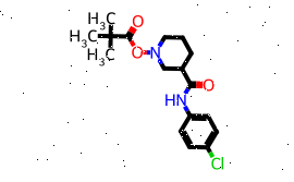 CC(C)(C)C(=O)ON1CCCC(C(=O)Nc2ccc(Cl)cc2)C1